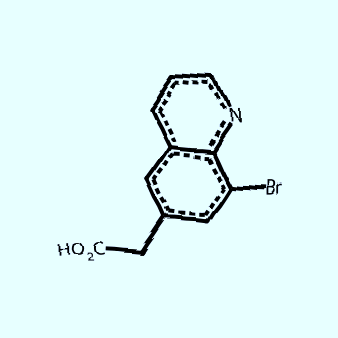 O=C(O)Cc1cc(Br)c2ncccc2c1